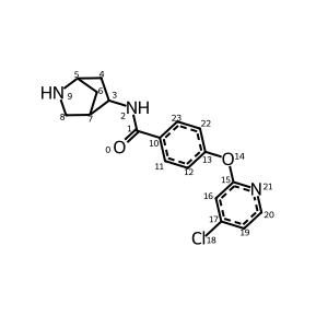 O=C(NC1CC2CC1CN2)c1ccc(Oc2cc(Cl)ccn2)cc1